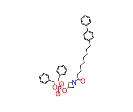 O=C(CCCCCCCCc1ccc(-c2ccccc2)cc1)N1CC(OP(=O)(OCc2ccccc2)OCc2ccccc2)C1